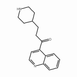 O=C(CCC1CCNCC1)c1ccnc2ccccc12